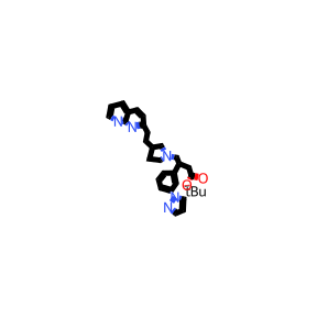 CC(C)(C)OC(=O)CC(CN1CCC(CCc2ccc3cccnc3n2)C1)c1cccc(-n2cccn2)c1